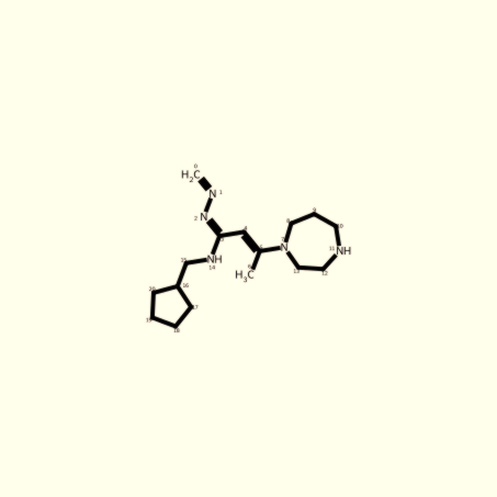 C=N/N=C(\C=C(/C)N1CCCNCC1)NCC1CCCC1